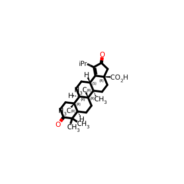 CC(C)C1=C2[C@H]3CC[C@@H]4[C@@]5(C)CCC(=O)C(C)(C)[C@@H]5CC[C@@]4(C)[C@]3(C)CC[C@@]2(C(=O)O)CC1=O